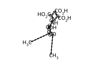 CC#CC#CC#CC#CC#CC#CC(=O)OCC(COP(=O)(O)OCCNC(=O)CN1CCN(CC(=O)O)CCN(CC(=O)O)CCN(CC(=O)O)CC1)OC(=O)C#CC#CC#CC#CC#CC#CC